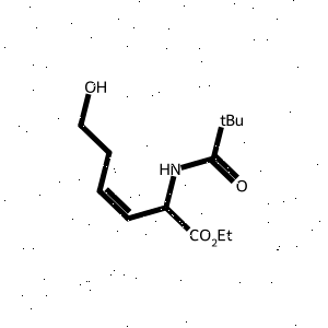 CCOC(=O)C(/C=C\CCO)NC(=O)C(C)(C)C